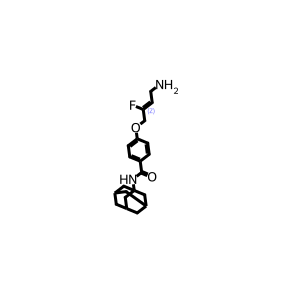 NC/C=C(\F)COc1ccc(C(=O)NC23CC4CC(CC(C4)C2)C3)cc1